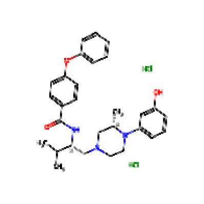 CC(C)[C@@H](CN1CCN(c2cccc(O)c2)[C@@H](C)C1)NC(=O)c1ccc(Oc2ccccc2)cc1.Cl.Cl